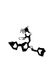 O=C1NC(=S)SC1=Cc1cc(-c2ccccc2)ccc1OCc1ccccc1